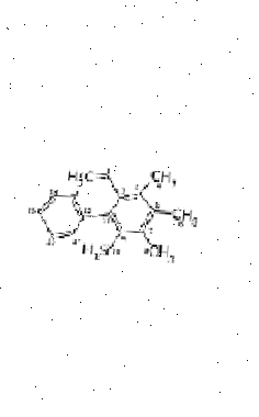 C=Cc1c(C)c(C)c(C)c([SiH3])c1-c1ccccc1